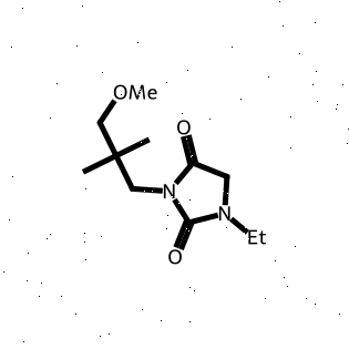 CCN1CC(=O)N(CC(C)(C)COC)C1=O